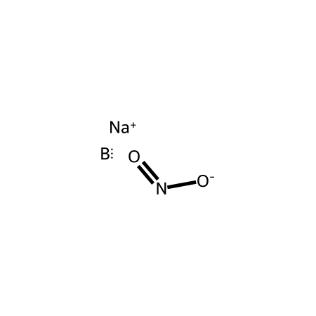 O=N[O-].[B].[Na+]